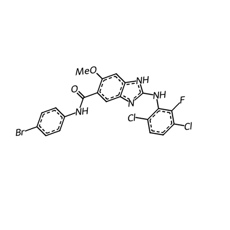 COc1cc2[nH]c(Nc3c(Cl)ccc(Cl)c3F)nc2cc1C(=O)Nc1ccc(Br)cc1